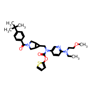 CCN(CCOC)c1ccc(N(CC2C3CN(C(=O)c4ccc(C(C)(C)C)cc4)CC32)C(=O)Oc2cccs2)cn1